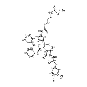 CC(C)(C)OC(=O)NCCSCC(=O)Nc1ncc(C2=C(C(=O)OC(c3ccccc3)c3ccccc3)N3C(=O)C(NC(=O)Cc4ccc(Cl)c(Cl)c4)C3SC2)s1